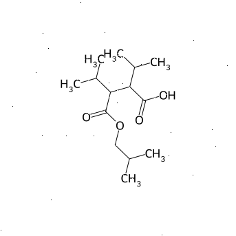 CC(C)COC(=O)C(C(C)C)C(C(=O)O)C(C)C